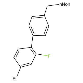 CCCCCCCCCCc1ccc(-c2ccc(CC)cc2F)cc1